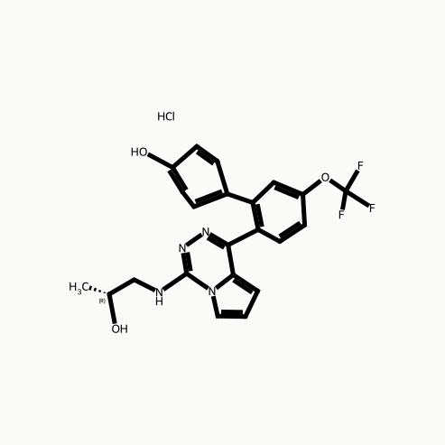 C[C@@H](O)CNc1nnc(-c2ccc(OC(F)(F)F)cc2-c2ccc(O)cc2)c2cccn12.Cl